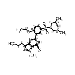 CCCc1nn(C)c2c(=S)[nH]c(-c3cc(S(=O)(=O)N4CC(C)NC(C)C4)ccc3OCC)nc12